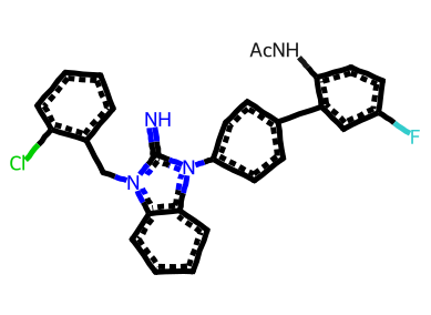 CC(=O)Nc1ccc(F)cc1-c1ccc(-n2c(=N)n(Cc3ccccc3Cl)c3ccccc32)cc1